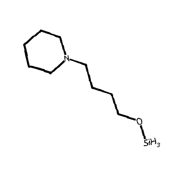 [SiH3]OCCCCN1CCCCC1